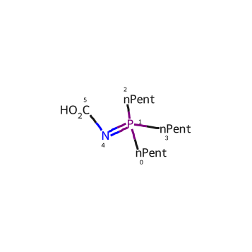 CCCCCP(CCCCC)(CCCCC)=NC(=O)O